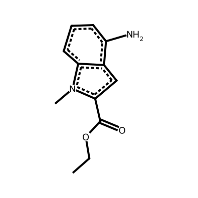 CCOC(=O)c1cc2c(N)cccc2n1C